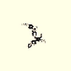 Cc1cc(-c2ccc(N3CCCC3)nc2)c(CN2CCC3(CC2)CN(c2ccc(C(=O)O)cc2)C(=O)O3)cc1CF